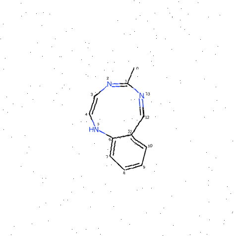 Cc1ncc[nH]c2ccccc2cn1